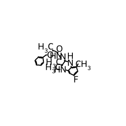 Cc1cc(F)cc2c1N/C(=N/NC(=O)C(C)OCc1ccccc1)C(C)(C)N2